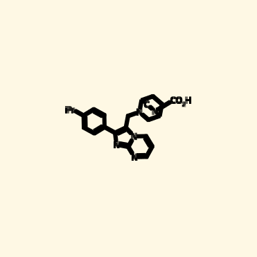 CC(C)c1ccc(-c2nc3ncccn3c2CN2CC3CCC2CN3C(=O)O)cc1